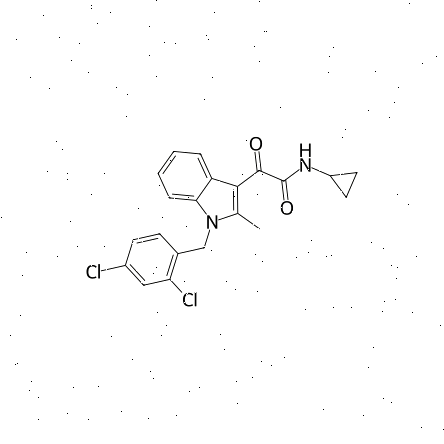 Cc1c(C(=O)C(=O)NC2CC2)c2ccccc2n1Cc1ccc(Cl)cc1Cl